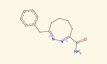 NC(=O)/C1=N/N=C(/Cc2ccccc2)CCCC1